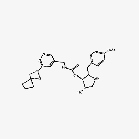 COc1ccc(C[C@H]2NC[C@H](O)[C@H]2OC(=O)NCc2ccnc(N3CC4(CCC4)C3)c2)cc1